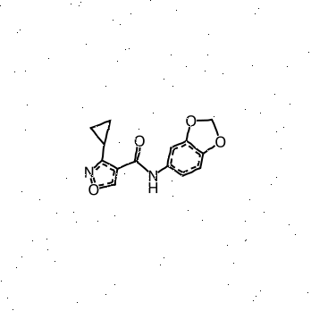 O=C(Nc1ccc2c(c1)OCO2)c1conc1C1CC1